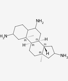 C[C@]12CC[C@@H]3[C@@H](CC(N)C4CCC(N)C[C@@]43C)[C@@H]1CC(N)C2